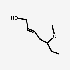 CCC(CC=CCO)OC